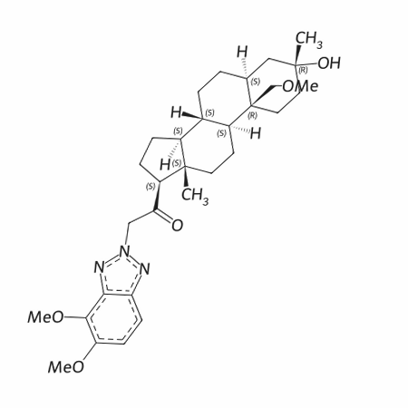 COC[C@]12CC[C@@](C)(O)C[C@@H]1CC[C@H]1[C@@H]3CC[C@H](C(=O)Cn4nc5ccc(OC)c(OC)c5n4)[C@@]3(C)CC[C@@H]12